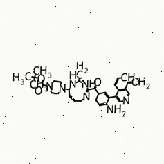 C=Cc1cncc(C2=CC(C(=O)/C3=N/C/C=C\[C@@H](N4CCN(C(=O)OC(C)(C)C)CC4)NC(=C)N3)CC=C2N)c1/C=C\C